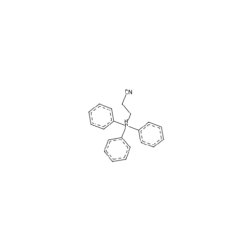 N#CCC[PH](c1ccccc1)(c1ccccc1)c1ccccc1